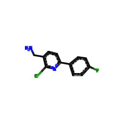 NCc1ccc(-c2ccc(F)cc2)nc1Cl